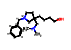 CN(C)CC1(CCCCO)CCN(Cc2ccccc2)C1